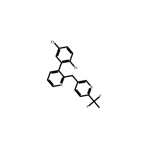 CCc1ccc(CC)c(-c2cccnc2Cc2ccc(C(C)(F)F)nc2)c1